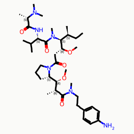 CC[C@H](C)[C@@H]([C@@H](CC(=O)N1CCC[C@H]1[C@H](OC)[C@@H](C)C(=O)N(C)CCc1ccc(N)cc1)OC)N(C)C(=O)[C@@H](NC(=O)[C@H](C)N(C)C)C(C)C